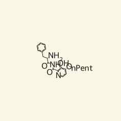 CCCCCOc1ccnc(C(=O)NC(=O)[C@@H](N)Cc2ccccc2)c1O